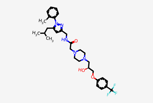 Cc1ccccc1-n1nc(CNC(=O)CN2CCN(C[C@H](O)COc3ccc(C(F)(F)F)cc3)CC2)cc1CC(C)C